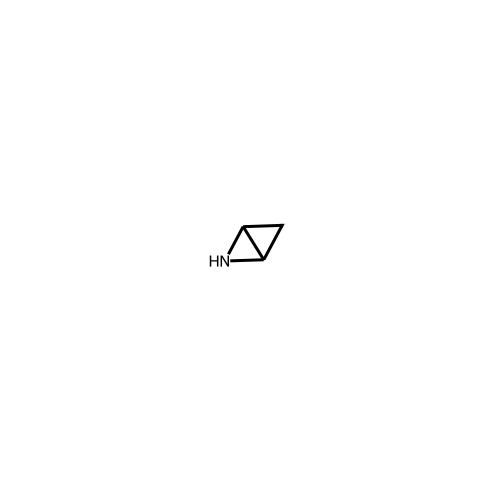 C1C2NC12